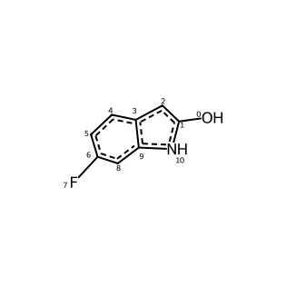 Oc1cc2ccc(F)cc2[nH]1